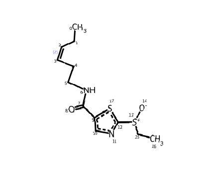 CC/C=C\CCNC(=O)c1cnc([S+]([O-])CC)s1